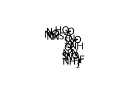 Nc1nc(C(=NOCC(F)(F)F)C(=O)NC2C(=O)N3CC(CSc4ccc5nnnn5n4)(C(=O)O)CS[C@H]23)ns1